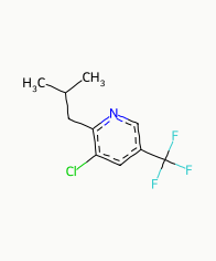 CC(C)Cc1ncc(C(F)(F)F)cc1Cl